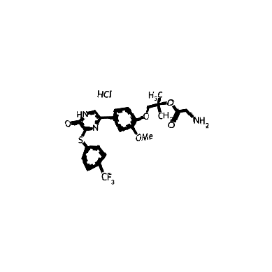 COc1cc(-c2c[nH]c(=O)c(Sc3ccc(C(F)(F)F)cc3)n2)ccc1OCC(C)(C)OC(=O)CN.Cl